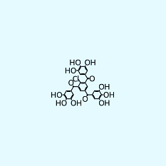 O=C(c1cc(O)c(O)c(O)c1)c1cc(C(=O)c2cc(O)c(O)c(O)c2)c(Cl)c(C(=O)c2cc(O)c(O)c(O)c2)c1